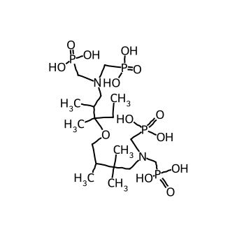 CCC(C)(OCC(C)C(C)(C)CN(CP(=O)(O)O)CP(=O)(O)O)C(C)CN(CP(=O)(O)O)CP(=O)(O)O